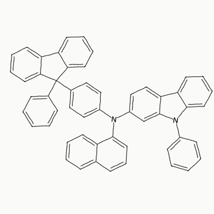 c1ccc(-n2c3ccccc3c3ccc(N(c4ccc(C5(c6ccccc6)c6ccccc6-c6ccccc65)cc4)c4cccc5ccccc45)cc32)cc1